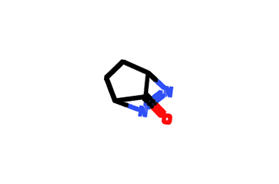 O=C1C2CCC1N=N2